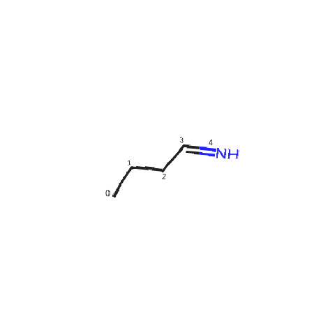 CCCC=N